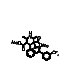 COC(=O)C1=C(C)NC(C)C(C(=O)OC)(c2nc(-c3cccc(C(F)(F)F)c3)cs2)C1c1ccccc1